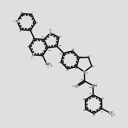 Nc1ncc(-c2cccnc2)c2scc(-c3ccc4c(c3)CCN4C(=O)Nc3cccc(C(F)(F)F)c3)c12